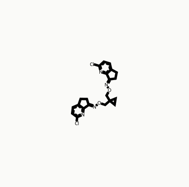 Clc1ccc2c(n1)/C(=N/OCC1(CO/N=C3\CCc4ccc(Cl)nc43)CC1)CC2